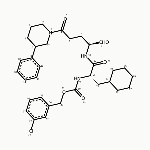 O=C[C@H](CCC(=O)N1CCCC(c2ccccc2)C1)NC(=O)[C@H](CC1CCCCC1)NC(=O)OCc1cccc(Cl)c1